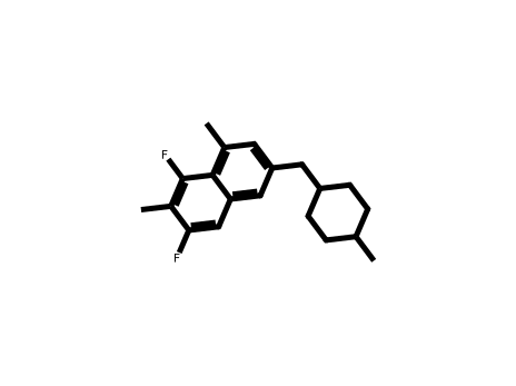 Cc1c(F)cc2cc(CC3CCC(C)CC3)cc(C)c2c1F